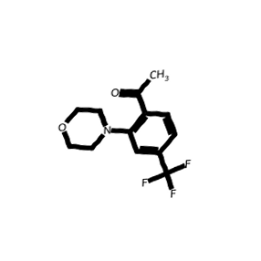 CC(=O)c1ccc(C(F)(F)F)cc1N1CCOCC1